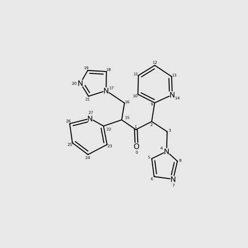 O=C(C(Cn1ccnc1)c1ccccn1)C(Cn1ccnc1)c1ccccn1